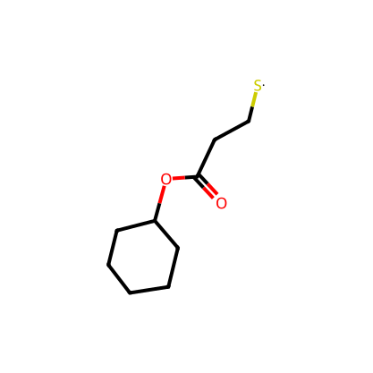 O=C(CC[S])OC1CCCCC1